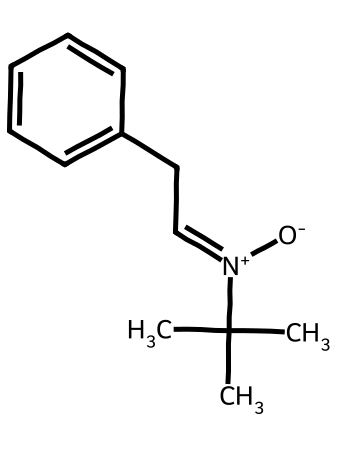 CC(C)(C)[N+]([O-])=CCc1ccccc1